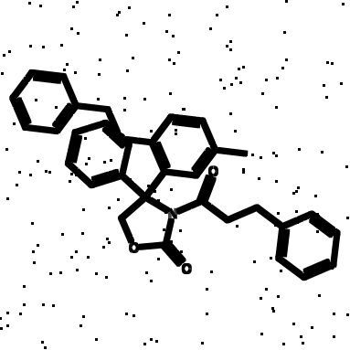 Cc1ccc(OCc2ccccc2)c(C2(c3ccccc3)COC(=O)N2C(=O)CCc2ccccc2)c1